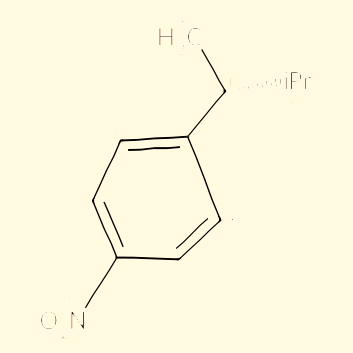 CC(C)[C@@H](C)c1ccc([N+](=O)[O-])cc1